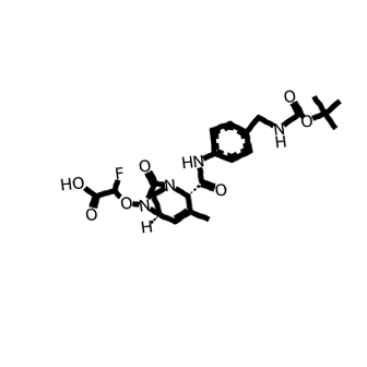 CC1=C[C@@H]2CN(C(=O)N2OC(F)C(=O)O)[C@@H]1C(=O)Nc1ccc(CNC(=O)OC(C)(C)C)cc1